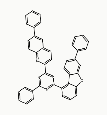 c1ccc(-c2ccc3nc(-c4nc(-c5ccccc5)nc(-c5cccc6oc7cc(-c8ccccc8)ccc7c56)n4)ccc3c2)cc1